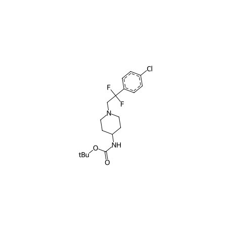 CC(C)(C)OC(=O)NC1CCN(CC(F)(F)c2ccc(Cl)cc2)CC1